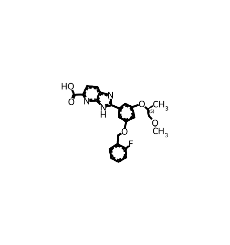 COC[C@H](C)Oc1cc(OCc2ccccc2F)cc(-c2nc3ccc(C(=O)O)nc3[nH]2)c1